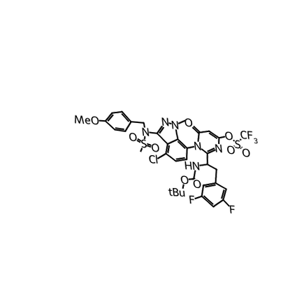 COc1ccc(CN(c2nn(C)c3c(-n4c(C(Cc5cc(F)cc(F)c5)NC(=O)OC(C)(C)C)nc(OS(=O)(=O)C(F)(F)F)cc4=O)ccc(Cl)c23)S(C)(=O)=O)cc1